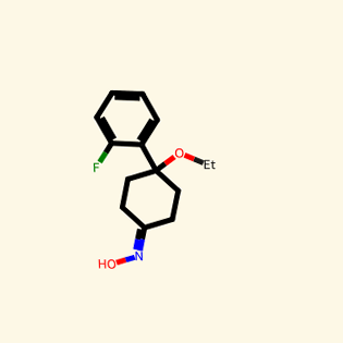 CCOC1(c2ccccc2F)CCC(=NO)CC1